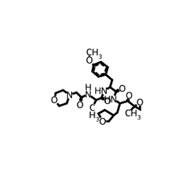 COc1ccc(CC(NC(=O)C(C)NC(=O)CN2CCOCC2)C(=O)NC(CC2CCOC2)C(=O)C2(C)CO2)cc1